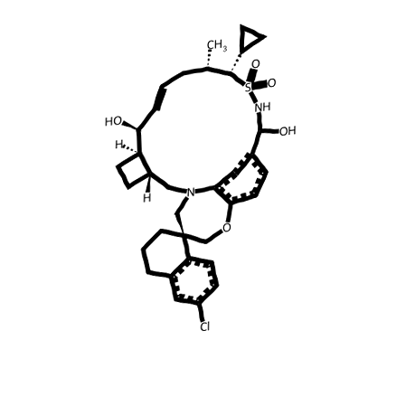 C[C@H]1C/C=C/[C@H](O)[C@@H]2CC[C@H]2CN2C[C@@]3(CCCc4cc(Cl)ccc43)COc3ccc(cc32)C(O)NS(=O)(=O)[C@H]1C1CC1